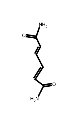 NC(=O)/C=C/C=C/C(N)=O